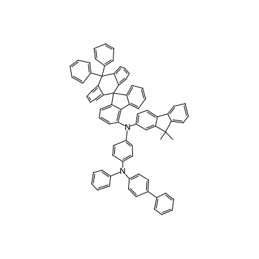 CC1(C)c2ccccc2-c2ccc(N(c3ccc(N(c4ccccc4)c4ccc(-c5ccccc5)cc4)cc3)c3cccc4c3-c3ccccc3C43c4ccccc4C(c4ccccc4)(c4ccccc4)c4ccccc43)cc21